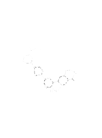 CC(C)[C@@H]1CN(c2ccc(-c3cnc(N)c(-c4cc5c(cc4F)C(=O)NCC5)c3)cc2)CCO1